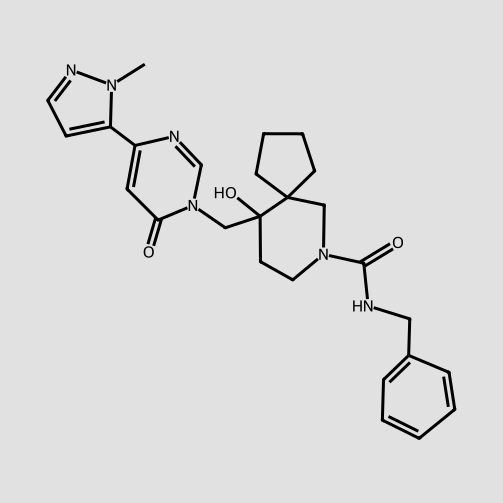 Cn1nccc1-c1cc(=O)n(CC2(O)CCN(C(=O)NCc3ccccc3)CC23CCCC3)cn1